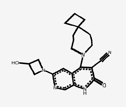 N#Cc1c(N2CCC3(CCC3)CC2)c2cc(N3CC(O)C3)ncc2[nH]c1=O